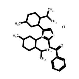 CC1CCC(C(C)C)C(c2csc(CC(=O)c3ccccc3)[n+]2C2CC(C)CCC2C(C)C)C1.[Cl-]